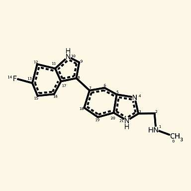 CNCc1nc2cc(-c3c[nH]c4cc(F)ccc34)ccc2[nH]1